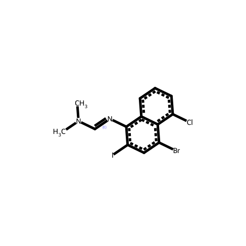 CN(C)/C=N/c1c(I)cc(Br)c2c(Cl)cccc12